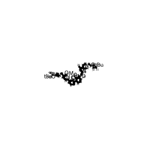 COc1nc(-c2cccc(-c3cccc(NC(=O)c4cc(C)c5c(n4)CN(CCO[Si](C)(C)C(C)(C)C)CC5)c3Cl)c2Cl)ccc1CN1CC(O[Si](C)(C)C(C)(C)C)C1